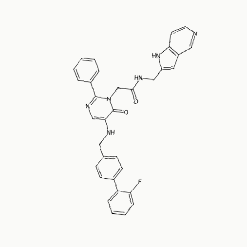 O=C(Cn1c(-c2ccccc2)ncc(NCc2ccc(-c3ccccc3F)cc2)c1=O)NCc1cc2cnccc2[nH]1